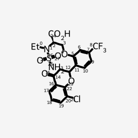 CCN([C@H](COc1cc(C(F)(F)F)ccc1C1CC(=O)c2cccc(Cl)c2O1)C(=O)O)S(N)(=O)=O